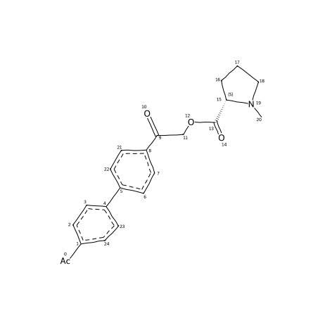 CC(=O)c1ccc(-c2ccc(C(=O)COC(=O)[C@@H]3CCCN3C)cc2)cc1